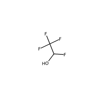 O[C](F)C(F)(F)F